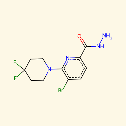 NNC(=O)c1ccc(Br)c(N2CCC(F)(F)CC2)n1